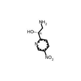 NC[C@@H](O)c1ccc([N+](=O)[O-])cn1